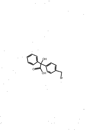 O=C(O)C(O)(c1ccccc1)c1ccc(CBr)cc1